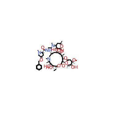 CC[C@H]1OC(=O)[C@H](C)[C@@H](O[C@H]2C[C@@](C)(OC)[C@@H](O)[C@H](C)O2)[C@H](C)[C@@H](O[C@@H]2O[C@H](C)C[C@H](N(C)CCNC(=O)[C@@H]3C[C@@H](OCc4ccccc4)CN3C)[C@H]2O)[C@](C)(O)C[C@@H](C)CN(C)[C@H](C)[C@@H](O)[C@]1(C)O